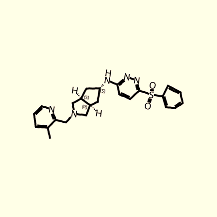 Cc1cccnc1CN1C[C@H]2C[C@H](Nc3ccc(S(=O)(=O)c4ccccc4)nn3)C[C@H]2C1